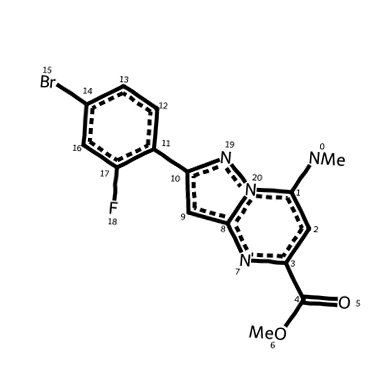 CNc1cc(C(=O)OC)nc2cc(-c3ccc(Br)cc3F)nn12